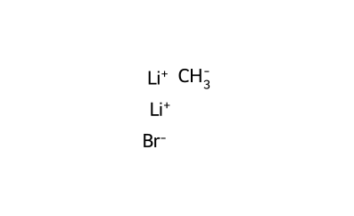 [Br-].[CH3-].[Li+].[Li+]